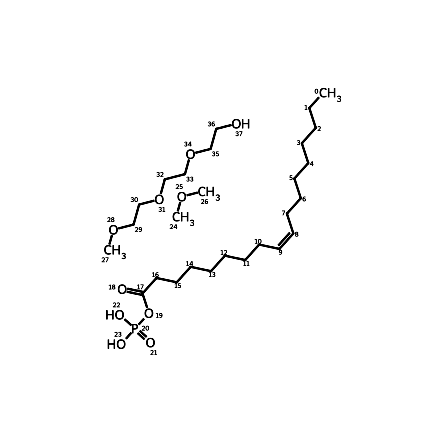 CCCCCCCC/C=C\CCCCCCCC(=O)OP(=O)(O)O.COC.COCCOCCOCCO